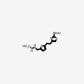 CC(=O)Nc1nc(CCc2ccc(CNNC(=O)O)s2)cs1